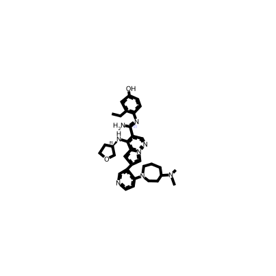 CCc1cc(O)ccc1/N=C(\N)c1cnn2cc(-c3cnccc3N3CCCC(N(C)C)CC3)cc2c1N[C@@H]1CCOC1